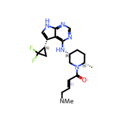 CNC/C=C/C(=O)N1C[C@H](Nc2ncnc3[nH]cc([C@@H]4CC4(F)F)c23)CC[C@@H]1C